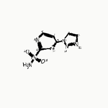 NS(=O)(=O)c1nccc(-n2ccnn2)n1